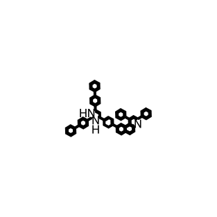 C1=C(c2ccc3ccc4nc(-c5ccccc5)cc(-c5ccccc5)c4c3c2)CCC(C2C=C(c3ccc(-c4ccccc4)cc3)NC(c3ccc(-c4ccccc4)cc3)N2)=C1